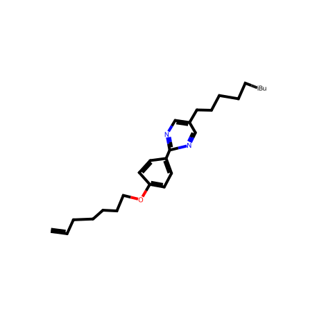 C=CCCCCCOc1ccc(-c2ncc(CCCCCC(C)CC)cn2)cc1